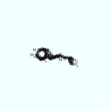 CO[C@H]1C[C@@H]2CC[C@@H](C)[C@@](O)(O2)C(=O)C(=O)N2CCCC[C@H]2C(=O)OC([C@H](N)C[C@@H]2CC[C@H](n3cc(-c4cnc(N5CCN(c6ncc(C(=O)NCCOCCC(=O)NCCCCn7nc(-c8ccc9oc(N)nc9c8)c8c(N)ncnc87)cn6)CC5)nc4)nn3)[C@H](OC)C2)CC(=O)[C@H](C)/C=C(\C)[C@@H](O)[C@@H](O)C(=O)[C@H](C)C[C@H](C)/C=C/C=C/C=C/1C